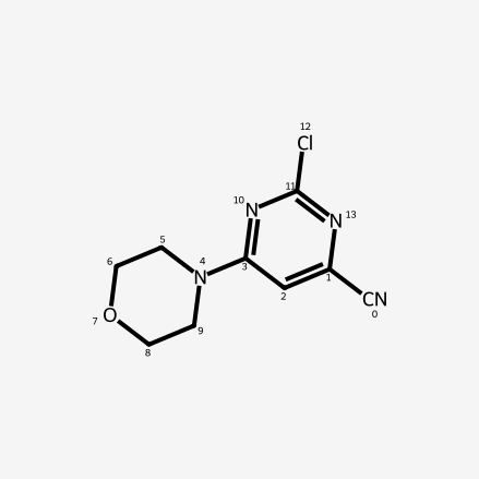 N#Cc1cc(N2CCOCC2)nc(Cl)n1